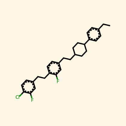 CCc1ccc(C2CCC(CCc3ccc(CCc4ccc(Cl)c(F)c4)c(F)c3)CC2)cc1